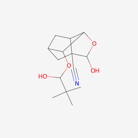 CC(C)(C)C(O)OC1C2CC3C1OC(O)C3(C#N)C2